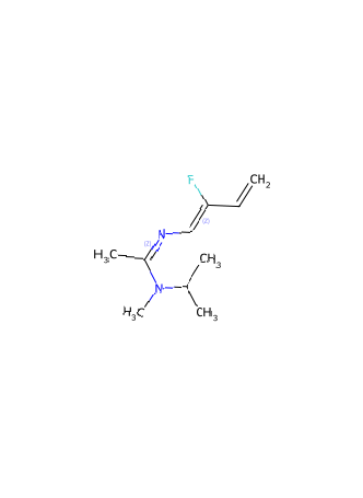 C=C/C(F)=C/N=C(/C)N(C)C(C)C